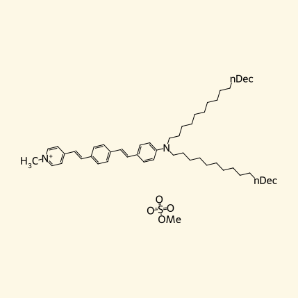 CCCCCCCCCCCCCCCCCCCCN(CCCCCCCCCCCCCCCCCCCC)c1ccc(C=Cc2ccc(C=Cc3cc[n+](C)cc3)cc2)cc1.COS(=O)(=O)[O-]